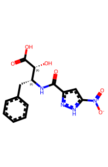 O=C(N[C@H](Cc1ccccc1)[C@@H](O)C(=O)O)c1cc([N+](=O)[O-])[nH]n1